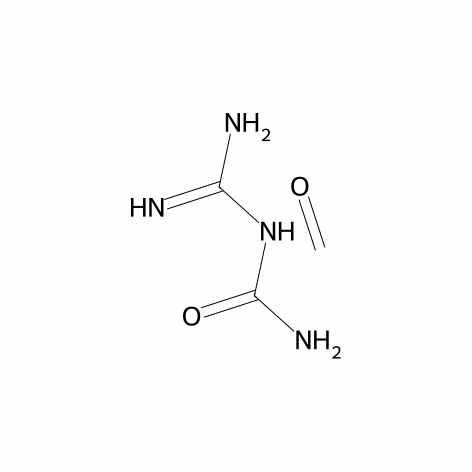 C=O.N=C(N)NC(N)=O